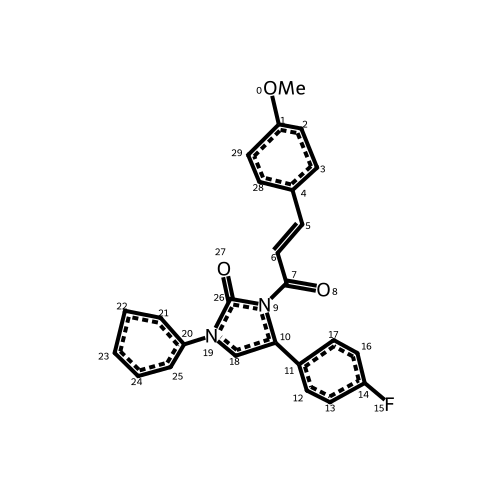 COc1ccc(C=CC(=O)n2c(-c3ccc(F)cc3)cn(-c3ccccc3)c2=O)cc1